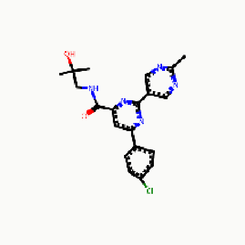 Cc1ncc(-c2nc(C(=O)NCC(C)(C)O)cc(-c3ccc(Cl)cc3)n2)cn1